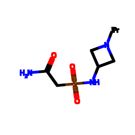 CC(C)N1CC(NS(=O)(=O)CC(N)=O)C1